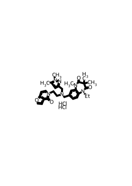 CCN1C(=O)C(C)(C)C(=O)N(C)c2cc(CN(CCn3ccc4occc4c3=O)Cc3cc(C)n(C)n3)ccc21.Cl.Cl